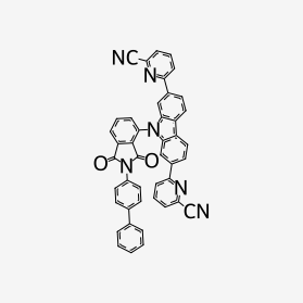 N#Cc1cccc(-c2ccc3c4ccc(-c5cccc(C#N)n5)cc4n(-c4cccc5c4C(=O)N(c4ccc(-c6ccccc6)cc4)C5=O)c3c2)n1